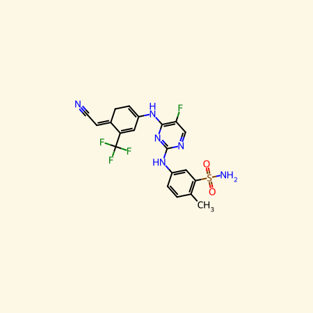 Cc1ccc(Nc2ncc(F)c(NC3=CCC(=CC#N)C(C(F)(F)F)=C3)n2)cc1S(N)(=O)=O